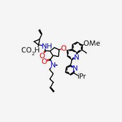 C=CCCCCN(C)C(=O)C1CC(Oc2cc(-c3cccc(C(C)C)n3)nc3c(C)c(OC)ccc23)CC1C(=O)NC1(C(=O)O)CC1C=C